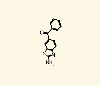 Nc1nc2ccc(C(=O)c3ccccc3)cc2s1